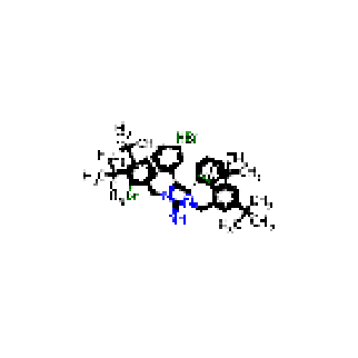 Br.CC(C)(C)c1cc(CN2C(=N)N(Cc3ccc(C(C)(C)C)c(C(C)(C)C)c3Br)[C@@H](c3ccccc3)[C@@H]2c2ccccc2)c(Br)c(C(C)(C)C)c1